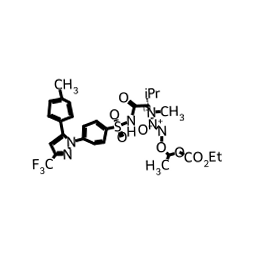 CCOC(=O)OC(C)ON=[N+]([O-])N(C)[C@H](C(=O)NS(=O)(=O)c1ccc(-n2nc(C(F)(F)F)cc2-c2ccc(C)cc2)cc1)C(C)C